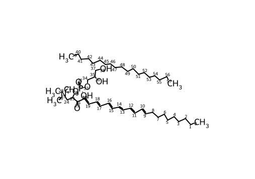 CCCCCCCCCC=CC=CC=CC=CC=CC=CC(=O)C(C[N+](C)(C)C)OP(=O)(O)OCC(O)CO.CCCCCCCCCCCCCCCCCCC